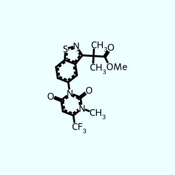 COC(=O)C(C)(C)c1nsc2ccc(-n3c(=O)cc(C(F)(F)F)n(C)c3=O)cc12